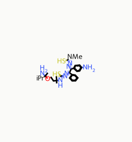 CN/C(S)=N/N=C(/C(=N/N=C(\S)NC(C)(C)CCOC(C)(N)C(C)C)c1ccccc1)c1ccc(N)cc1